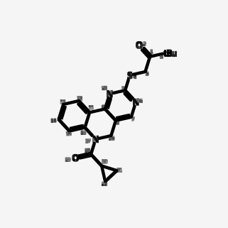 CC(C)(C)C(=O)CSc1ncc2c(n1)-c1ccccc1N(C(=O)C1CC1)C2